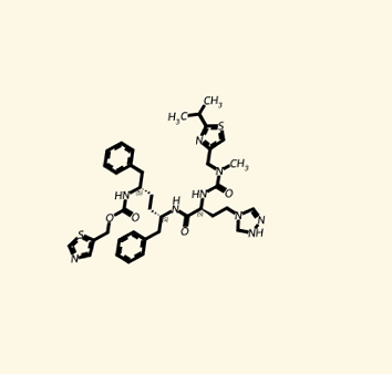 CC(C)c1nc(CN(C)C(=O)N[C@@H](CCN2C=NNC2)C(=O)N[C@@H](CC[C@@H](Cc2ccccc2)NC(=O)OCc2cncs2)Cc2ccccc2)cs1